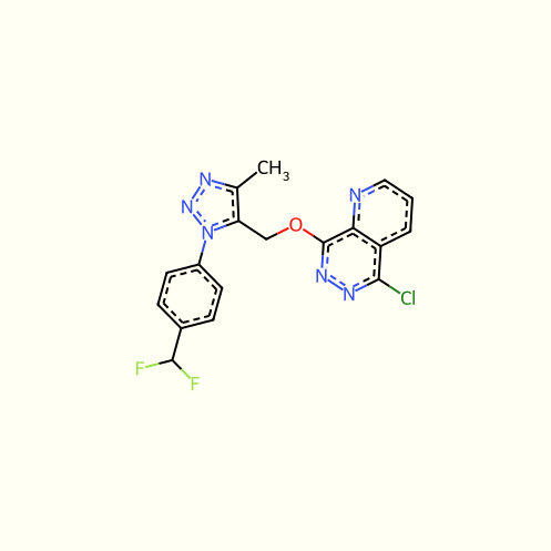 Cc1nnn(-c2ccc(C(F)F)cc2)c1COc1nnc(Cl)c2cccnc12